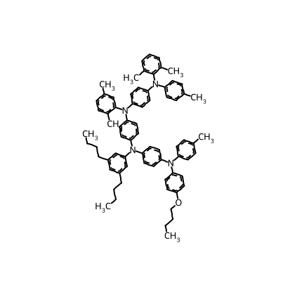 CCCCOc1ccc(N(c2ccc(C)cc2)c2ccc(N(c3ccc(N(c4ccc(N(c5ccc(C)cc5)c5c(C)cccc5C)cc4)c4cc(C)ccc4C)cc3)c3cc(CCCC)cc(CCCC)c3)cc2)cc1